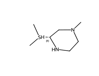 CN1CCN[C@H]([SH](C)C)C1